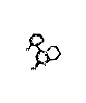 N=c1cc(-c2ccccc2Cl)n2c(n1)CCCC2